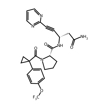 NC(=O)C[C@@H](C#Cc1ncccn1)NC(=O)[C@@H]1CCCN1C(=O)C1(c2ccc(OC(F)(F)F)cc2)CC1